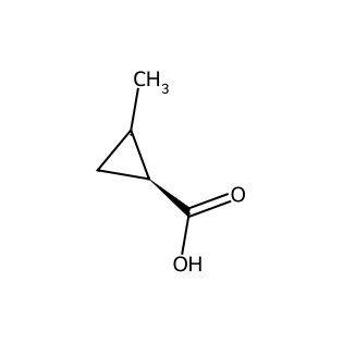 C[C]1C[C@@H]1C(=O)O